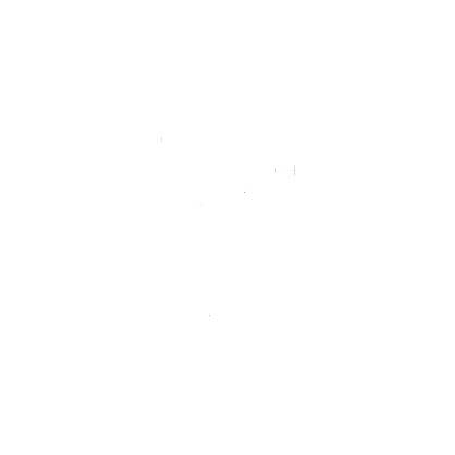 C=C1C(CO)[C@H]1CO